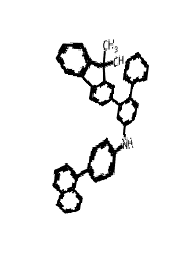 CC1(C)c2ccccc2-c2ccc(-c3cc(Nc4ccc(-c5cccc6ccccc56)cc4)ccc3-c3ccccc3)cc21